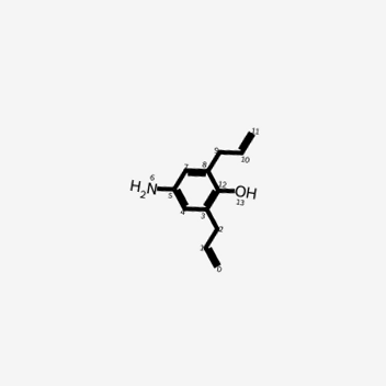 C=CCc1cc(N)cc(CC=C)c1O